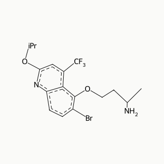 CC(N)CCOc1c(Br)ccc2nc(OC(C)C)cc(C(F)(F)F)c12